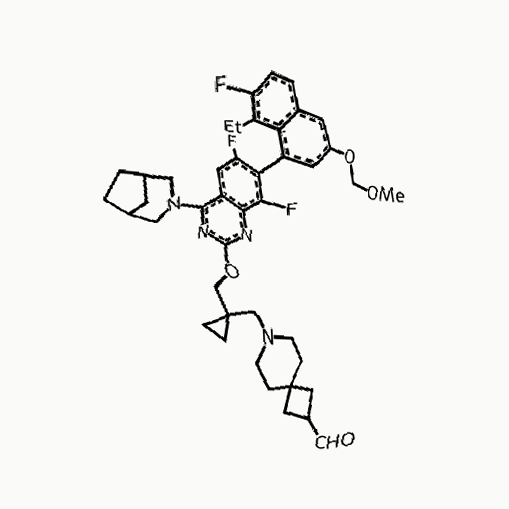 CCc1c(F)ccc2cc(OCOC)cc(-c3c(F)cc4c(N5CC6CCC(C6)C5)nc(OCC5(CN6CCC7(CC6)CC(C=O)C7)CC5)nc4c3F)c12